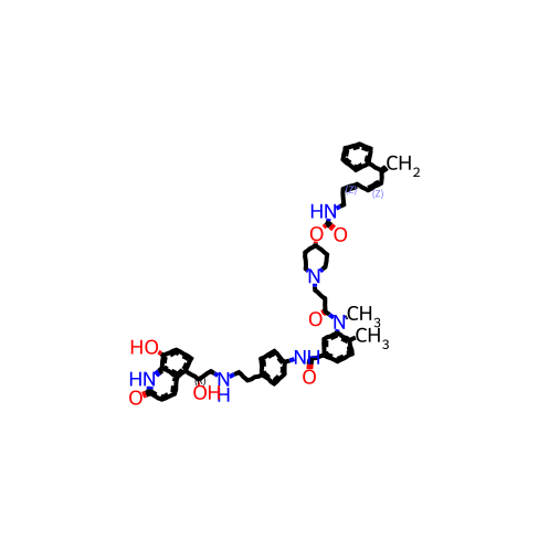 C=C(/C=C\C=C/CNC(=O)OC1CCN(CCC(=O)N(C)c2cc(C(=O)Nc3ccc(CCNC[C@H](O)c4ccc(O)c5[nH]c(=O)ccc45)cc3)ccc2C)CC1)c1ccccc1